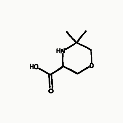 CC1(C)COCC(C(=O)O)N1